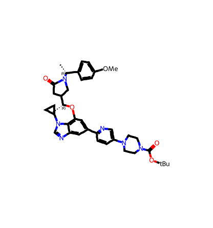 COc1ccc([C@@H](C)N2CC([C@@H](C)Oc3cc(-c4ccc(N5CCN(C(=O)OC(C)(C)C)CC5)cn4)cc4ncn(C5CC5)c34)CC2=O)cc1